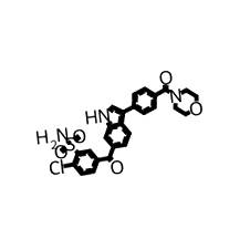 NS(=O)(=O)c1cc(C(=O)c2ccc3c(-c4ccc(C(=O)N5CCOCC5)cc4)c[nH]c3c2)ccc1Cl